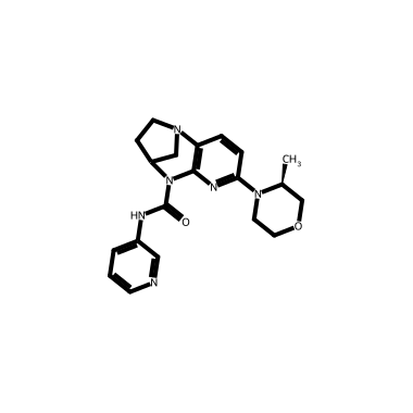 C[C@H]1COCCN1c1ccc2c(n1)N(C(=O)Nc1cccnc1)C1CCN2C1